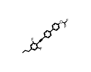 CCCc1cc(F)c(C#Cc2ccc(-c3ccc(OC(F)F)cc3)cc2)c(F)c1